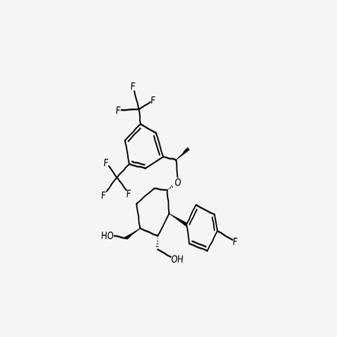 C[C@@H](O[C@H]1CC[C@H](CO)[C@@H](CO)[C@@H]1c1ccc(F)cc1)c1cc(C(F)(F)F)cc(C(F)(F)F)c1